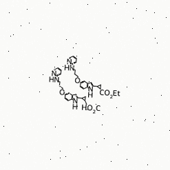 CCOC(=O)C1CC1c1cc2cc(OCCCNc3ccccn3)ccc2[nH]1.O=C(O)CC1CC1c1cc2cc(OCCCNc3ccccn3)ccc2[nH]1